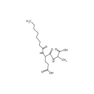 CCCCCCCC(=O)NC(CCC(=O)O)C(=O)NC(C)C(=O)O